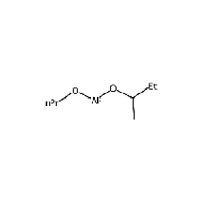 CCC[O][Al][O]C(C)CC